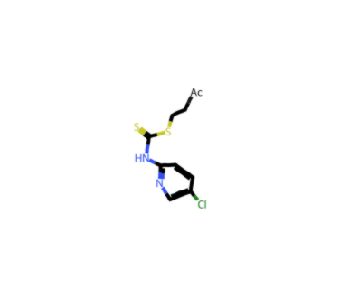 CC(=O)CCSC(=S)Nc1ccc(Cl)cn1